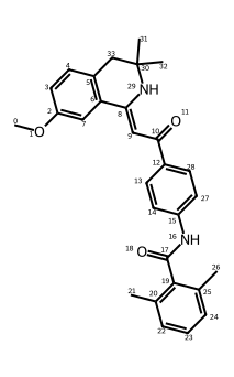 COc1ccc2c(c1)C(=CC(=O)c1ccc(NC(=O)c3c(C)cccc3C)cc1)NC(C)(C)C2